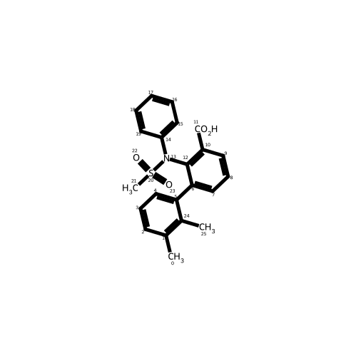 Cc1cccc(-c2cccc(C(=O)O)c2N(c2ccccc2)S(C)(=O)=O)c1C